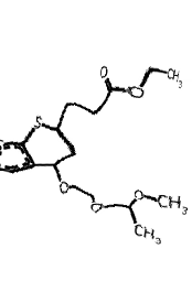 CCOC(=O)CCC1CC(OCOC(C)OC)c2ccsc2S1